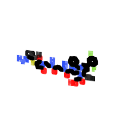 CC(C)(C)C(c1cc(-c2cc(F)ccc2F)cn1Cc1ccccc1)N(CCC(N)C(=O)NCCC(=O)NCCN1C(=O)CC(SCC(N)C(=O)O)C1=O)C(=O)CO